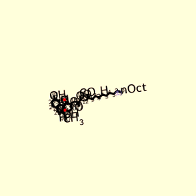 CCCCCCCC/C=C/CCCCCCCC(=O)C[C@@H](OC(=O)O)C(=O)OC1=CC[C@@]2(O)[C@H]3Cc4ccc(O)c5c4[C@@]2(CCN3C)[C@H]1O5